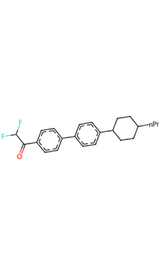 CCCC1CCC(c2ccc(-c3ccc(C(=O)C(F)F)cc3)cc2)CC1